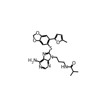 Cc1ccc(-c2cc3c(cc2Sc2nc4c(N)ncnc4n2CCCNC(=O)C(C)C)OCO3)o1